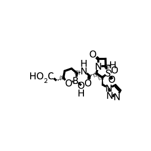 O=C(O)C[C@@H]1CC[C@H](NC(=O)[C@H]2[C@H](Cn3ccnn3)S(=O)(=O)[C@@H]3CC(=O)N32)B(O)O1